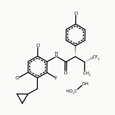 C[C@H]([C@H](C(=O)Nc1c(Cl)cc(Cl)c(CC2CC2)c1F)c1ccc(Cl)cc1)C(F)(F)F.O=C(O)O